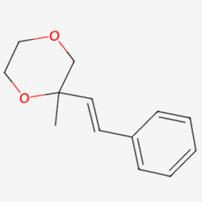 CC1(C=Cc2ccccc2)COCCO1